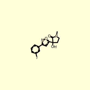 CN1CCC(O)(c2cc(-c3cccc(I)c3)no2)C1=O